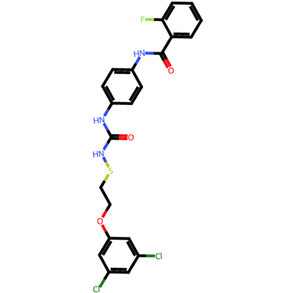 O=C(NSCCOc1cc(Cl)cc(Cl)c1)Nc1ccc(NC(=O)c2ccccc2F)cc1